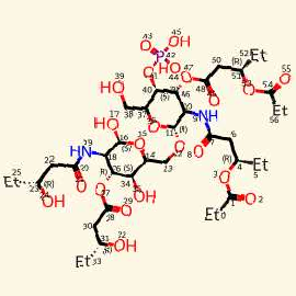 CCC(=O)O[C@H](CC)CC(=O)NC1[C@H](OCC2O[C@H](O)C(NC(=O)C[C@H](O)CC)[C@@H](OC(=O)C[C@H](O)CC)[C@@H]2O)OC(CO)[C@@H](OP(=O)(O)O)[C@@H]1OC(=O)C[C@@H](CC)OC(=O)CC